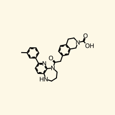 Cc1cccc(-c2ccc3c(n2)N(C(=O)Cc2ccc4c(c2)CN(C(=O)O)CC4)CCCN3)c1